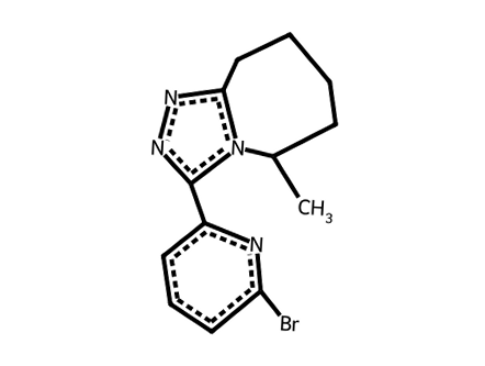 CC1CCCCc2nnc(-c3cccc(Br)n3)n21